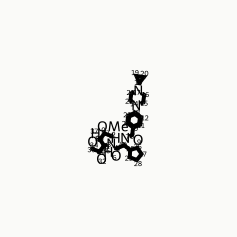 CO[C@H]1CN(C(=O)[C@@H](NC(=O)c2ccc(N3CCN(C4CC4)CC3)cc2)C2CCCC2)[C@@H]2C(=O)CO[C@H]12